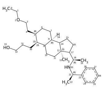 CCOCC[C@H]1CC[C@@H]2C(CC[C@@]3(C)C2CCC3[C@@H](C)N[C@H](C)c2ccccc2)[C@H]1CCCO